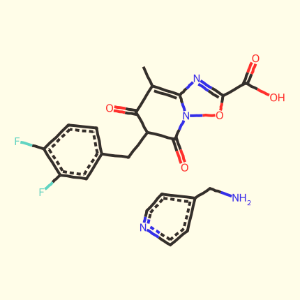 CC1=C2N=C(C(=O)O)ON2C(=O)C(Cc2ccc(F)c(F)c2)C1=O.NCc1ccncc1